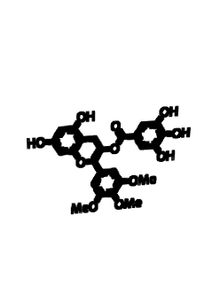 COc1cc(C2=C(OC(=O)c3cc(O)c(O)c(O)c3)Cc3c(O)cc(O)cc3O2)cc(OC)c1OC